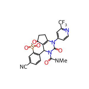 CNC(=O)N1C(=O)N(c2ccnc(C(F)(F)F)c2)C2=C(C(=O)CC2)C1c1ccc(C#N)cc1S(C)(=O)=O